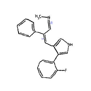 C/N=C\C(=C/c1c[nH]cc1-c1ccccc1F)c1ccccc1